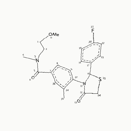 COCCN(C)C(=O)c1ccc(N2C(=O)CSC2c2ccc(F)cc2)c(C)c1